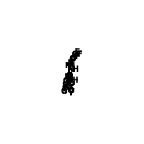 CCCc1ccc(C)cc1N1C(=O)CSC1=NC(=O)Nc1ccc(CNc2ncn(-c3ccc(OC(F)(F)F)cc3)n2)cn1